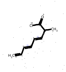 C=C/C=C/C=C/C(C)C(=O)Cl